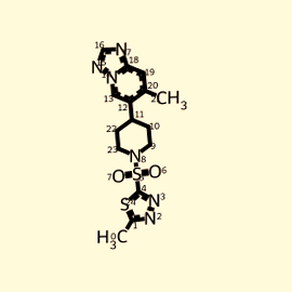 Cc1nnc(S(=O)(=O)N2CCC(c3cn4ncnc4cc3C)CC2)s1